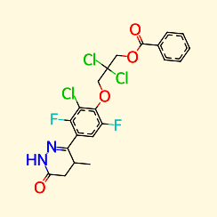 CC1CC(=O)NN=C1c1cc(F)c(OCC(Cl)(Cl)COC(=O)c2ccccc2)c(Cl)c1F